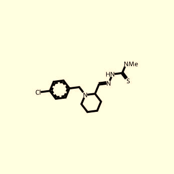 CNC(=S)NN=CC1CCCCN1Cc1ccc(Cl)cc1